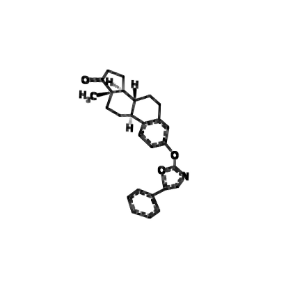 C[C@]12CC[C@@H]3c4ccc(Oc5ncc(-c6ccccc6)o5)cc4CC[C@H]3[C@@H]1CCC2=O